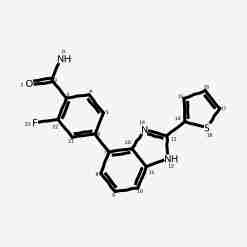 [NH]C(=O)c1ccc(-c2cccc3[nH]c(-c4cccs4)nc23)cc1F